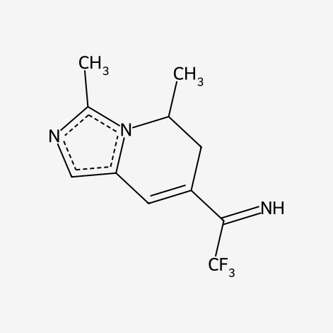 Cc1ncc2n1C(C)CC(C(=N)C(F)(F)F)=C2